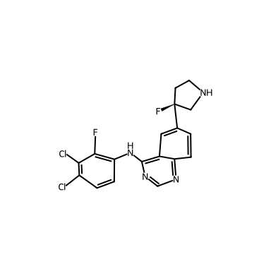 Fc1c(Nc2ncnc3ccc([C@]4(F)CCNC4)cc23)ccc(Cl)c1Cl